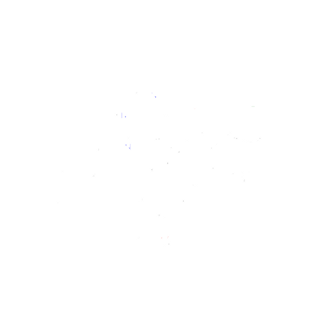 CCCCCCNc1ncnc2oc(-c3ccccc3C(F)(F)F)c(-c3ccc(OC)cc3)c12